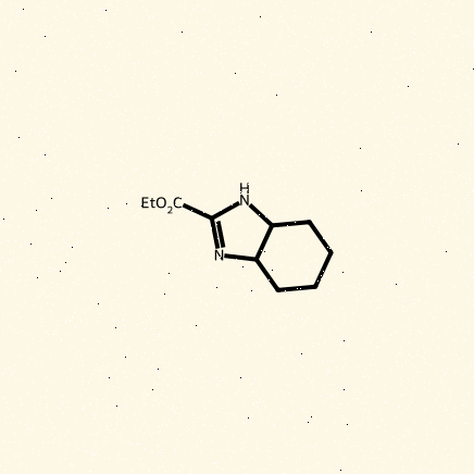 CCOC(=O)C1=NC2CCCCC2N1